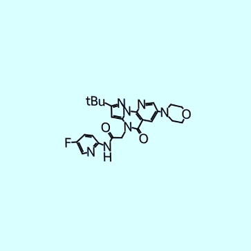 CC(C)(C)c1cc2n(CC(=O)Nc3ccc(F)cn3)c(=O)c3cc(N4CCOCC4)cnc3n2n1